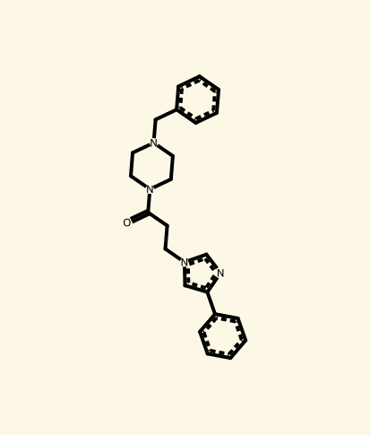 O=C(CCn1cnc(-c2ccccc2)c1)N1CCN(Cc2ccccc2)CC1